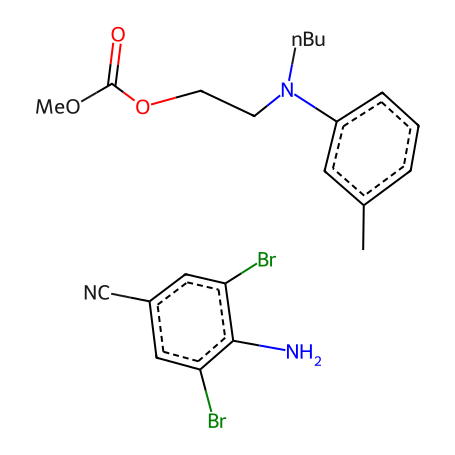 CCCCN(CCOC(=O)OC)c1cccc(C)c1.N#Cc1cc(Br)c(N)c(Br)c1